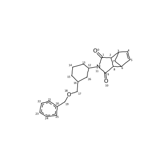 O=C1C2C3C=CC(C3)C2C(=O)N1C1CCCC(COCc2ccccc2)C1